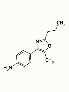 CCCc1nc(-c2ccc(N)cc2)c(C)o1